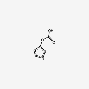 O=C(O)Oc1ccns1